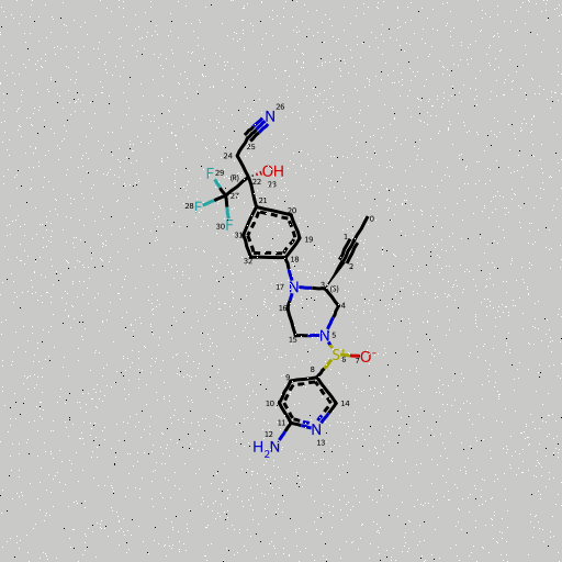 CC#C[C@H]1CN([S+]([O-])c2ccc(N)nc2)CCN1c1ccc([C@](O)(CC#N)C(F)(F)F)cc1